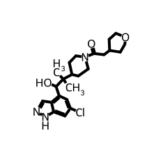 CC(C)(C1CCN(C(=O)CC2CCOCC2)CC1)C(O)c1cc(Cl)cc2[nH]ncc12